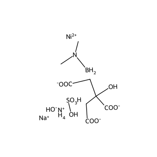 BN(C)C.O=C([O-])CC(O)(CC(=O)[O-])C(=O)[O-].O=S(=O)(O)O.[NH4+].[Na+].[Ni+2].[OH-]